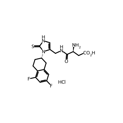 Cl.N[C@@H](CC(=O)O)C(=O)NCc1c[nH]c(=S)n1[C@H]1CCc2c(F)cc(F)cc2C1